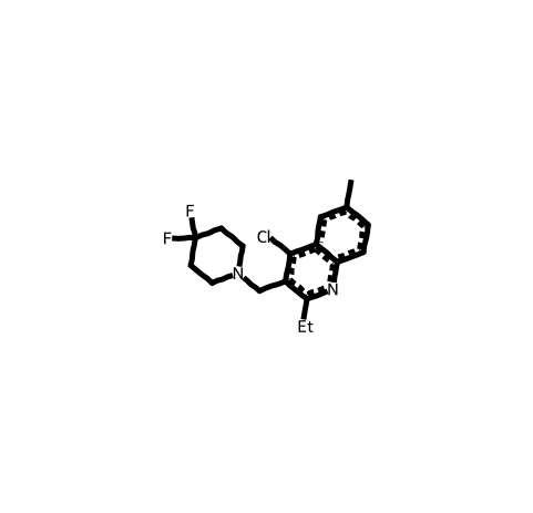 CCc1nc2ccc(C)cc2c(Cl)c1CN1CCC(F)(F)CC1